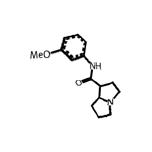 COc1cccc(NC(=O)C2CCN3CCCC23)c1